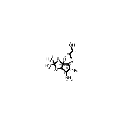 CC1(C)OC2[C@H](N)[C@@H](F)[C@H](OCCO)[C@H]2O1